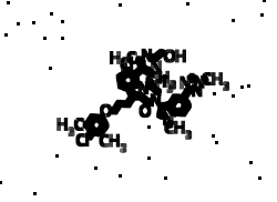 Cc1cc(OCCCc2c3n(c4c(-c5c(C)nc(CO)nc5C)c(Cl)ccc24)[C@H](C)CN(c2cn(C)c4ccc(-c5ncn(C)n5)cc24)C3=O)cc(C)c1Cl